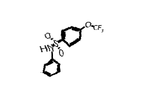 O=S(=O)(Nc1c[c]ccc1)c1ccc(OC(F)(F)F)cc1